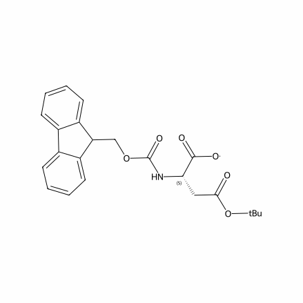 CC(C)(C)OC(=O)C[C@H](NC(=O)OCC1c2ccccc2-c2ccccc21)C([O])=O